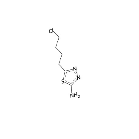 Nc1nnc(CCCCCl)s1